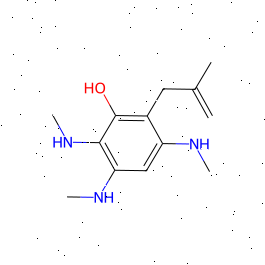 C=C(C)Cc1c(NC)cc(NC)c(NC)c1O